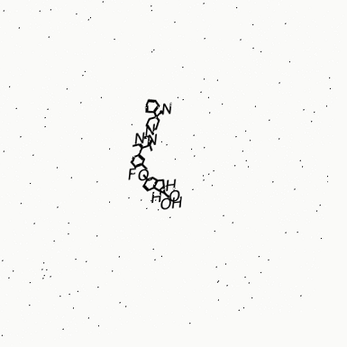 Cc1nc(N2CCC(C#N)(c3ccccc3)CC2)nc(C)c1-c1ccc(F)c(COc2ccc3c(c2)C[C@H]2C(C(=O)O)[C@@H]32)c1